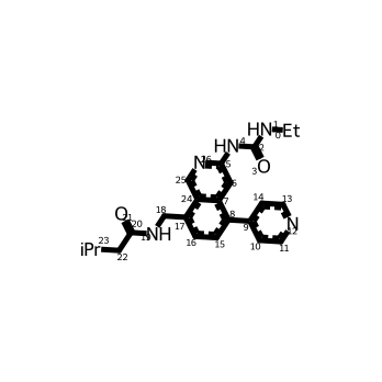 CCNC(=O)Nc1cc2c(-c3ccncc3)ccc(CNC(=O)CC(C)C)c2cn1